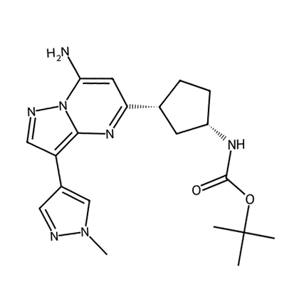 Cn1cc(-c2cnn3c(N)cc([C@@H]4CC[C@H](NC(=O)OC(C)(C)C)C4)nc23)cn1